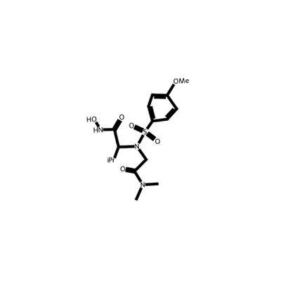 COc1ccc(S(=O)(=O)N(CC(=O)N(C)C)C(C(=O)NO)C(C)C)cc1